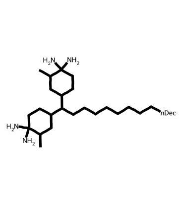 CCCCCCCCCCCCCCCCCCC(C1CCC(N)(N)C(C)C1)C1CCC(N)(N)C(C)C1